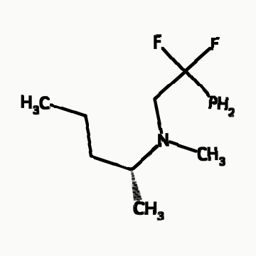 CCC[C@@H](C)N(C)CC(F)(F)P